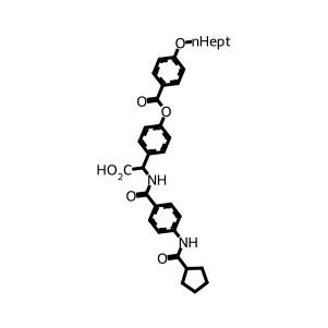 CCCCCCCOc1ccc(C(=O)Oc2ccc(C(NC(=O)c3ccc(NC(=O)C4CCCC4)cc3)C(=O)O)cc2)cc1